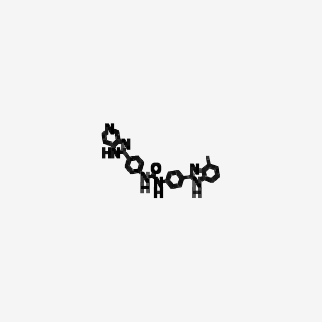 Cc1cccc2[nH]c(-c3ccc(NC(=O)Nc4ccc(-c5nc6cnccc6[nH]5)cc4)cc3)nc12